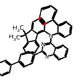 CC1(C)c2ccccc2-c2c(N(c3ccccc3-c3ccccc3)c3nc(-c4ccc(-c5ccccc5)cc4)nc4ccccc34)cccc21